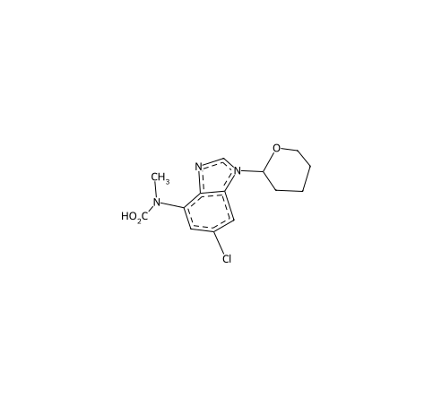 CN(C(=O)O)c1cc(Cl)cc2c1ncn2C1CCCCO1